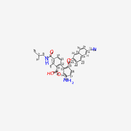 Cc1c(C(=O)NCC(C)C)ccc(-c2cc(N)ccc2Oc2ccc3cc(C#N)ccc3c2)c1C(=O)O